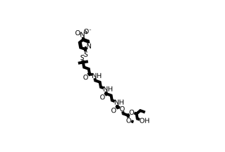 CCC(CO)OC(COC(=O)NCCC(=O)NCCCNC(=O)CCC(C)(C)SSc1ccc([N+](=O)[O-])cn1)OC